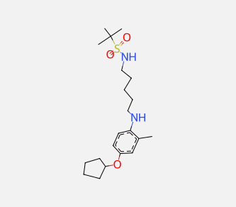 Cc1cc(OC2CCCC2)ccc1NCCCCCNS(=O)(=O)C(C)(C)C